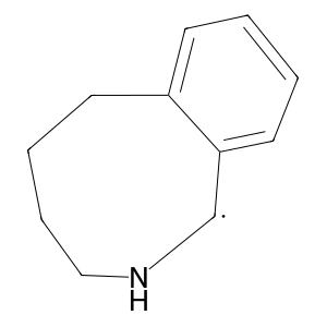 [CH]1NCCCCc2ccccc21